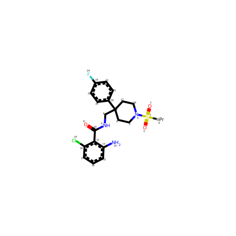 CCCS(=O)(=O)N1CCC(CNC(=O)c2c(N)cccc2Cl)(c2ccc(F)cc2)CC1